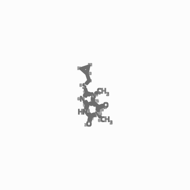 Cn1c(=O)[nH]c2nc(SCC3CC3)n(C)c2c1=O